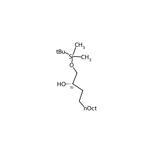 CCCCCCCCCC[C@H](O)CO[Si](C)(C)C(C)(C)C